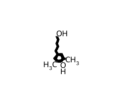 Cc1cc(CCCCCO)cc(C)c1O